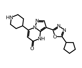 O=c1cc(C2CCNCC2)n2ncc(-c3nnc(C4CCCC4)o3)c2[nH]1